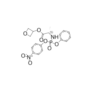 C[C@H](NP(=O)(Oc1ccccc1)Oc1ccc([N+](=O)[O-])cc1)C(=O)OC1COC1